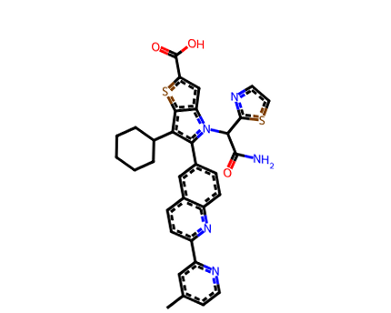 Cc1ccnc(-c2ccc3cc(-c4c(C5CCCCC5)c5sc(C(=O)O)cc5n4C(C(N)=O)c4nccs4)ccc3n2)c1